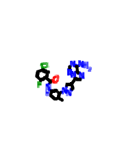 Cc1ccc(NC(=O)c2cc(Cl)ccc2F)cc1-n1cc(-c2cnc3c(N)ncnn23)cn1